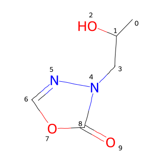 CC(O)Cn1ncoc1=O